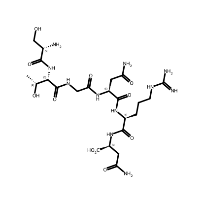 C[C@@H](O)[C@H](NC(=O)[C@@H](N)CO)C(=O)NCC(=O)N[C@@H](CC(N)=O)C(=O)N[C@@H](CCCNC(=N)N)C(=O)N[C@@H](CC(N)=O)C(=O)O